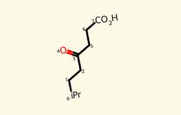 CC(C)CCC(=O)CCC(=O)O